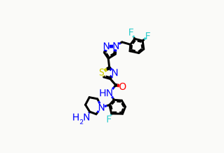 NC1CCCN(c2c(F)cccc2NC(=O)c2csc(-c3cnn(Cc4cccc(F)c4F)c3)n2)C1